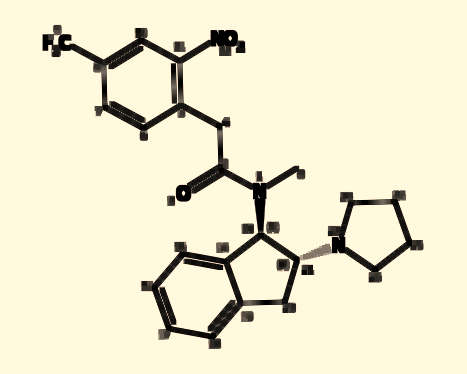 CN(C(=O)Cc1ccc(C(F)(F)F)cc1[N+](=O)[O-])[C@@H]1c2ccccc2C[C@H]1N1CCCC1